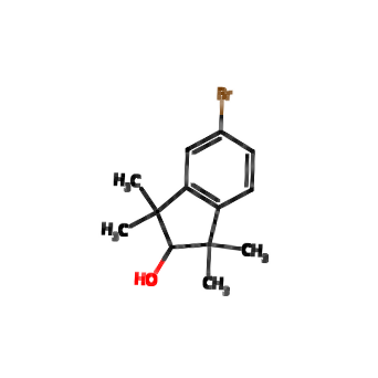 CC1(C)c2ccc(Br)cc2C(C)(C)C1O